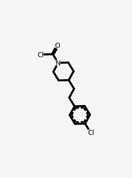 O=C(Cl)N1CCC(CCc2ccc(Cl)cc2)CC1